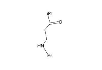 [CH2]CNCCC(=O)C(C)C